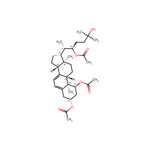 CC(=O)O[C@@H]1CC2=CC=C3[C@@H]4CC[C@H]([C@H](C)[C@@H](CCC(C)(C)O)OC(C)=O)[C@@]4(C)CC[C@@H]3[C@@]2(C)[C@@H](OC(C)=O)C1